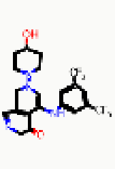 O=C1CN=CC2=C1C(Nc1cc(C(F)(F)F)cc(C(F)(F)F)c1)=CN(N1CCC(O)CC1)C2